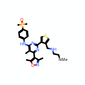 CNCCNCc1cscc1-c1nc(Nc2ccc(P(C)(C)=O)cc2)c(C)c(-c2c(C)noc2C)n1